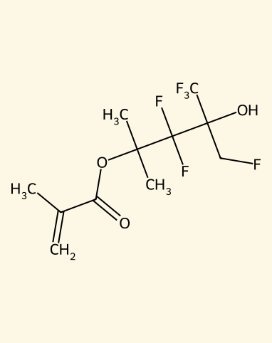 C=C(C)C(=O)OC(C)(C)C(F)(F)C(O)(CF)C(F)(F)F